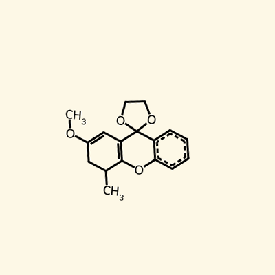 COC1=CC2=C(Oc3ccccc3C23OCCO3)C(C)C1